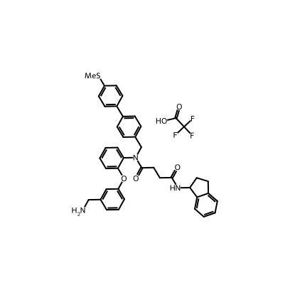 CSc1ccc(-c2ccc(CN(C(=O)CCC(=O)NC3CCc4ccccc43)c3ccccc3Oc3cccc(CN)c3)cc2)cc1.O=C(O)C(F)(F)F